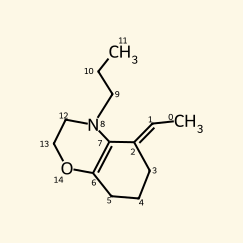 CC=C1CCCC2=C1N(CCC)CCO2